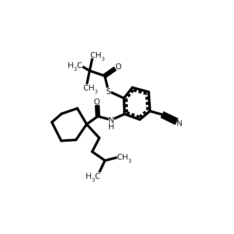 CC(C)CCC1(C(=O)Nc2cc(C#N)ccc2SC(=O)C(C)(C)C)CCCCC1